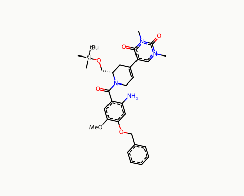 COc1cc(C(=O)N2CC=C(c3cn(C)c(=O)n(C)c3=O)C[C@H]2CO[Si](C)(C)C(C)(C)C)c(N)cc1OCc1ccccc1